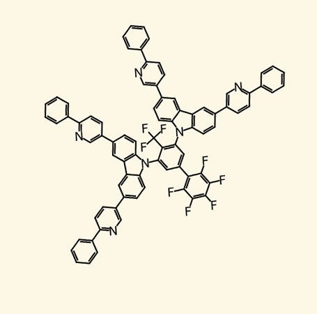 Fc1c(F)c(F)c(-c2cc(-n3c4ccc(-c5ccc(-c6ccccc6)nc5)cc4c4cc(-c5ccc(-c6ccccc6)nc5)ccc43)c(C(F)(F)F)c(-n3c4ccc(-c5ccc(-c6ccccc6)nc5)cc4c4cc(-c5ccc(-c6ccccc6)nc5)ccc43)c2)c(F)c1F